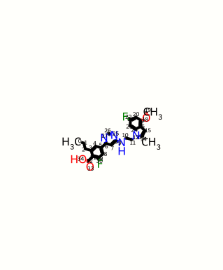 CCCc1cc(-c2cc(NCCn3c(C)cc4c(OC)cc(F)cc43)ncn2)cc(F)c1C(=O)O